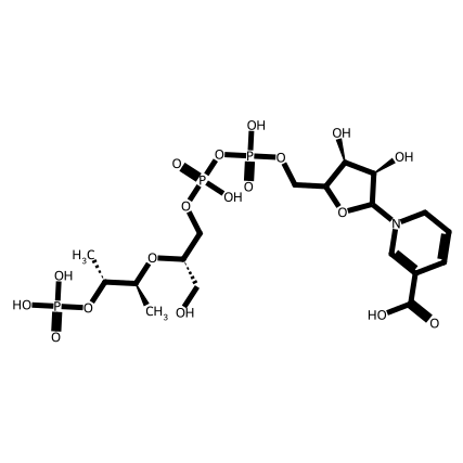 C[C@H](O[C@@H](CO)COP(=O)(O)OP(=O)(O)OCC1OC(N2C=C(C(=O)O)C=CC2)[C@H](O)[C@@H]1O)[C@@H](C)OP(=O)(O)O